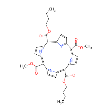 CCCCOC(=O)C1=C2C=CC(=N2)C(C(=O)OC)=C2C=CC(=N2)C(C(=O)OCCCC)=C2C=CC(=N2)C(C(=O)OC)=C2C=CC1=N2